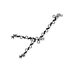 CC(C)(C)OC(=O)CCOCCOCCOCCOCCNC(=O)OC(COCCOCCOCCN=[N+]=[N-])COCCOCCOCCN=[N+]=[N-]